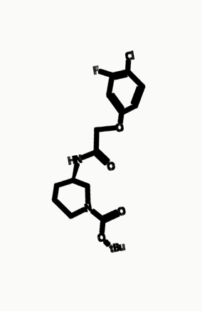 CC(C)(C)OC(=O)N1CCC[C@@H](NC(=O)COc2ccc(Cl)c(F)c2)C1